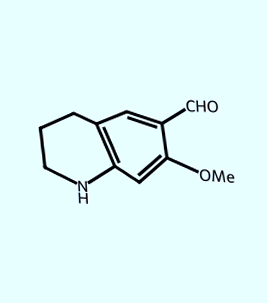 COc1cc2c(cc1C=O)CCCN2